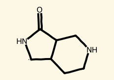 O=C1N[CH]C2CCNCC12